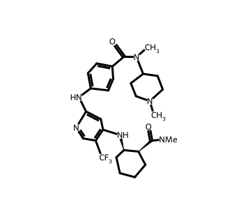 CNC(=O)[C@H]1CCCC[C@H]1Nc1cc(Nc2ccc(C(=O)N(C)C3CCN(C)CC3)cc2)ncc1C(F)(F)F